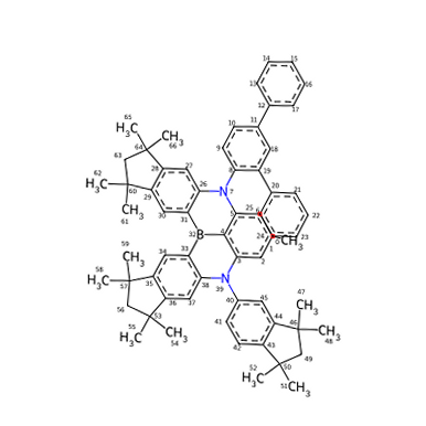 Cc1cc2c3c(c1)N(c1ccc(-c4ccccc4)cc1-c1ccccc1)c1cc4c(cc1B3c1cc3c(cc1N2c1ccc2c(c1)C(C)(C)CC2(C)C)C(C)(C)CC3(C)C)C(C)(C)CC4(C)C